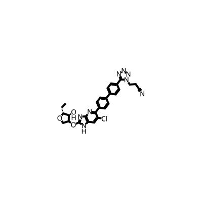 CC[C@H]1OCC(Oc2nc3nc(-c4ccc(-c5ccc(-c6nnnn6CCC#N)cc5)cc4)c(Cl)cc3[nH]2)[C@@H]1O